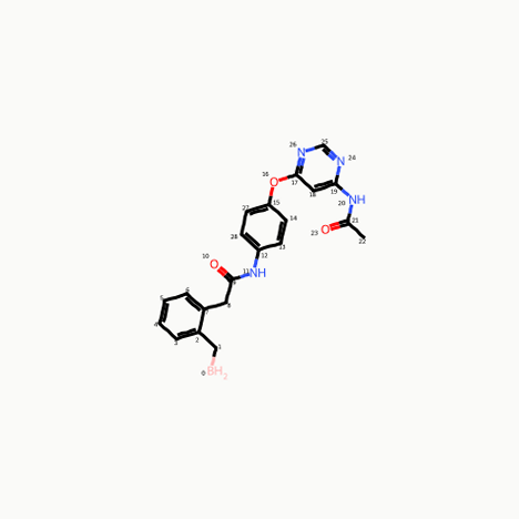 BCc1ccccc1CC(=O)Nc1ccc(Oc2cc(NC(C)=O)ncn2)cc1